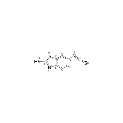 S=C=Nc1ccc2nc(S)sc2c1